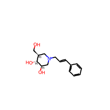 OC[C@H]1CN(CC=Cc2ccccc2)C[C@@H](O)[C@@H]1O